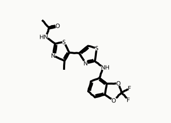 CC(=O)Nc1nc(C)c(-c2csc(Nc3cccc4c3OC(F)(F)O4)n2)s1